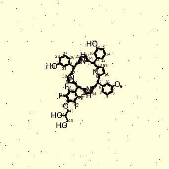 COc1cccc(-c2c3nc(c(-c4cccc(O)c4)c4ccc([nH]4)c(-c4cccc(O)c4)c4nc(c(-c5c(F)c(F)c(OCC(O)CO)c(F)c5F)c5ccc2[nH]5)C=C4)C=C3)c1